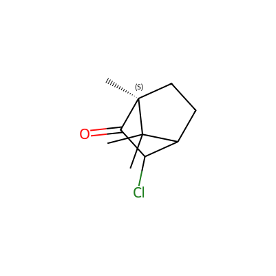 CC1(C)C2CC[C@]1(C)C(=O)C2Cl